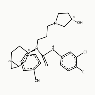 N#Cc1cccc([C@]23CC[C@@H](N(CCCN4CC[C@H](O)C4)C(=O)Nc4ccc(Cl)c(Cl)c4)CC2C3)c1